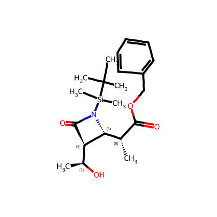 C[C@H](O)[C@H]1C(=O)N([Si](C)(C)C(C)(C)C)[C@@H]1[C@@H](C)C(=O)OCc1ccccc1